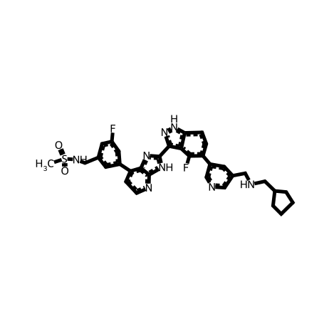 CS(=O)(=O)NCc1cc(F)cc(-c2ccnc3[nH]c(-c4n[nH]c5ccc(-c6cncc(CNCC7CCCC7)c6)c(F)c45)nc23)c1